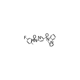 Cc1ccc(F)cc1C(=O)Nc1ccc(C(=O)N2Cc3cccn3-c3ccccc32)cn1